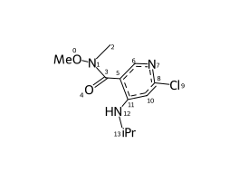 CON(C)C(=O)c1cnc(Cl)cc1NC(C)C